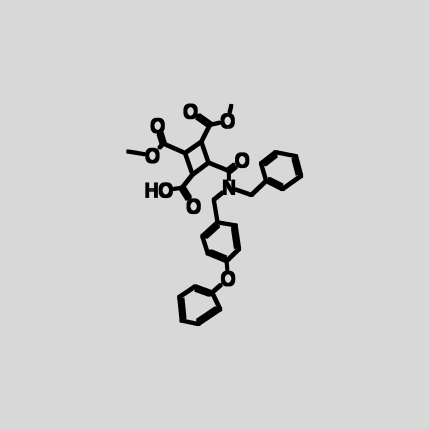 COC(=O)C1C(C(=O)O)C(C(=O)N(Cc2ccccc2)Cc2ccc(Oc3ccccc3)cc2)C1C(=O)OC